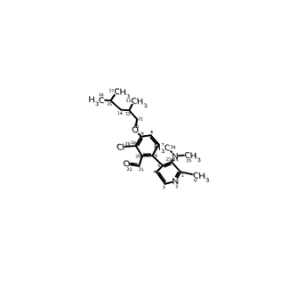 Cc1nccc(-c2ccc(OCC(C)CC(C)C)c(Cl)c2C=O)c1N(C)C